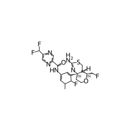 CC1C=C(NC(=O)c2cnc(C(F)F)cn2)C=C([C@]23CCO[C@H](CF)[C@H]2CSC(N)=N3)C1F